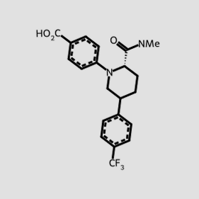 CNC(=O)[C@@H]1CCC(c2ccc(C(F)(F)F)cc2)CN1c1ccc(C(=O)O)cc1